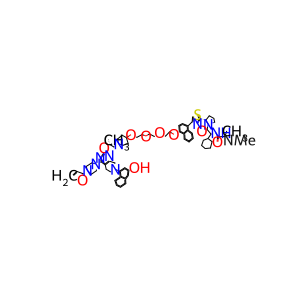 C=CC(=O)N1CCN(c2nc(O[C@H](C)CN3CCC(OCCOCCOCCOc4ccc(-c5csc([C@@H]6CCCN6C(=O)C(NC(=O)[C@H](C)NC)C6CCCCC6)n5)c5ccccc45)CC3)nc3c2CCN(c2cc(O)cc4ccccc24)C3)CC1